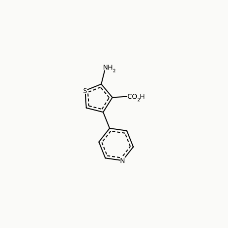 Nc1scc(-c2ccncc2)c1C(=O)O